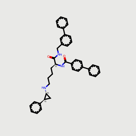 O=C(N[C@@H](CCCCN[C@@H]1C[C@H]1c1ccccc1)C(=O)NCc1cccc(-c2ccccc2)c1)c1ccc(-c2ccccc2)cc1